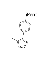 CCCC(C)c1ccc(-c2sccc2C)cc1